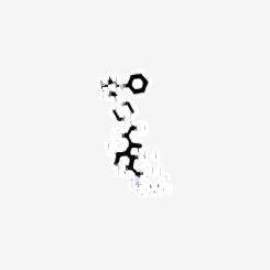 CO/N=C(\C)c1ncc(F)c2c(C(=O)C(=O)N3CCN(c4nnnn4-c4ccccc4)CC3)c[nH]c12